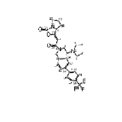 CCN(CC)CCN(Cc1ccc(-c2ccc(C(F)(F)F)cc2)cc1)C(=O)C=C1OC(=O)N2CCCC12